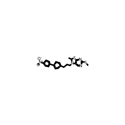 CSc1ncc2c(n1)SC(C)N2CCCc1ccc(-c2ccc([N+](=O)[O-])cc2)cc1